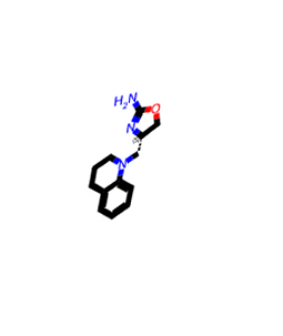 NC1=N[C@@H](CN2CCCc3ccccc32)CO1